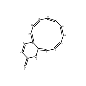 O=c1ccc2/c(o1)=C\C=C/C=C\C=C/C=C\C=2